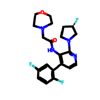 O=C(CN1CCOCC1)Nc1c(-c2cc(F)ccc2F)ccnc1N1CC[C@H](F)C1